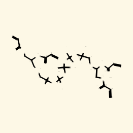 C=CC(=O)OCC(COCC(F)(F)OC(F)(F)OC(F)(F)OC(F)(F)OC(F)(F)COC(COC(=O)C=C)OC(=O)C=C)OC(=O)C=C